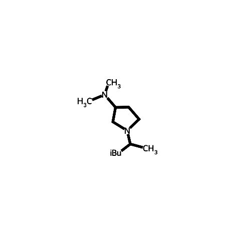 CCC(C)C(C)N1CCC(N(C)C)C1